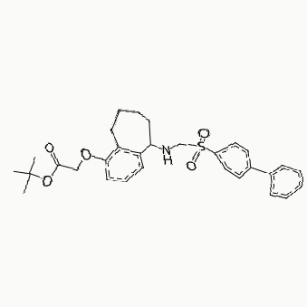 CC(C)(C)OC(=O)COc1cccc2c1CCCCC2NCS(=O)(=O)c1ccc(-c2ccccc2)cc1